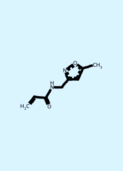 C=CC(=O)NCc1cc(C)on1